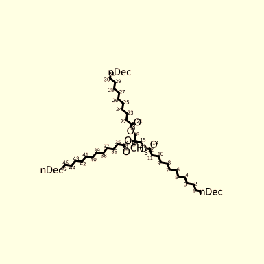 CCCCCCCCCCCCCCCCCCCCCC(=O)OC[C@@](C)(COC(=O)CCCCCCCCCCCCCCCCCCC)OC(=O)CCCCCCCCCCCCCCCCCCCCC